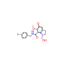 COc1c(C(=O)NCc2ccc(F)cc2)n2c(cc1=O)CCC2CO